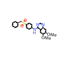 COc1cc2ncnc(Nc3ccc(S(=O)(=O)Cc4ccccc4)cc3)c2cc1OC